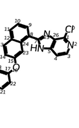 Clc1nccc2[nH]c(-c3cccc4ccc(Oc5ccccc5)cc34)nc12